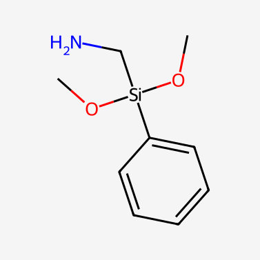 CO[Si](CN)(OC)c1ccccc1